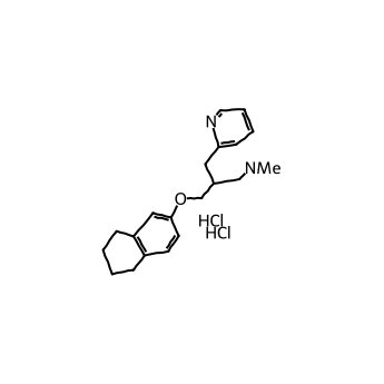 CNCC(COc1ccc2c(c1)CCCC2)Cc1ccccn1.Cl.Cl